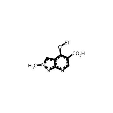 CCOc1c(C(=O)O)cnc2nn(C)cc12